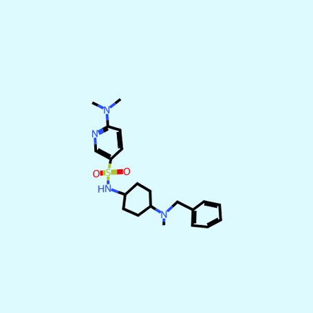 CN(C)c1ccc(S(=O)(=O)NC2CCC(N(C)Cc3ccccc3)CC2)cn1